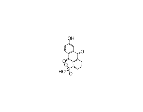 O=C1c2cc(O)ccc2C(=O)c2c1cccc2S(=O)(=O)O